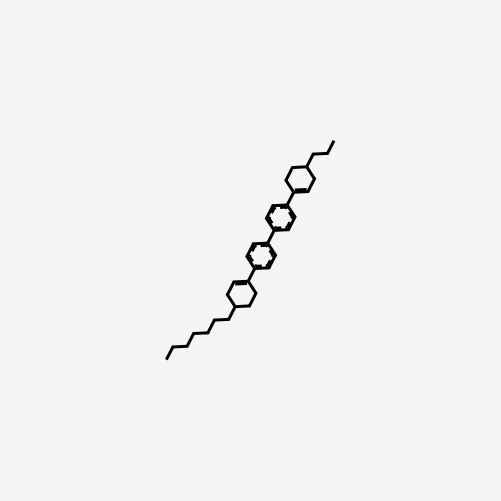 CCCCCCCC1CC=C(c2ccc(-c3ccc(C4=CCC(CCC)CC4)cc3)cc2)CC1